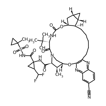 C[C@@H]1[C@@H]2CN(C(=O)[C@H](C(C)(C)C)NC(=O)O[C@@H]3C[C@@H]4C[C@@H]4[C@H]3CCCCCc3nc4ccc(C#N)cc4nc3O2)[C@@H]1C(=O)NC1(C(=O)NS(=O)(=O)C2(C)CC2)CC1C(F)F